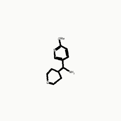 COc1ccc(C(N)C2CCOCC2)cn1